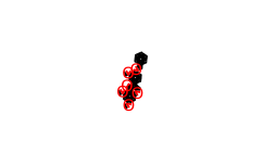 COc1cc(OC)c2c(=O)c(-c3ccc(OCc4ccccc4)c(OC)c3)coc2c1